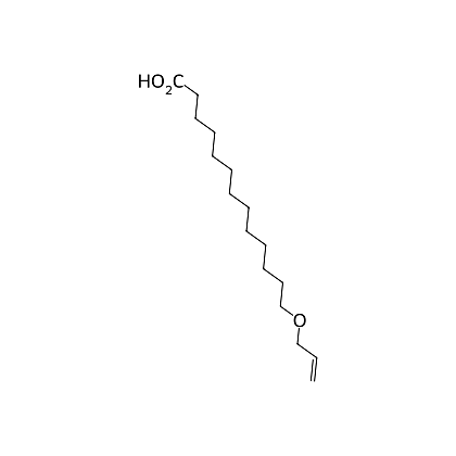 C=CCOCCCCCCCCCCCCC(=O)O